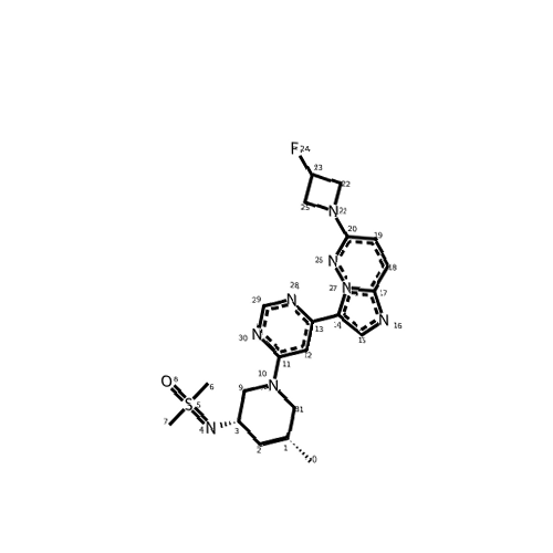 C[C@@H]1C[C@H](N=S(C)(C)=O)CN(c2cc(-c3cnc4ccc(N5CC(F)C5)nn34)ncn2)C1